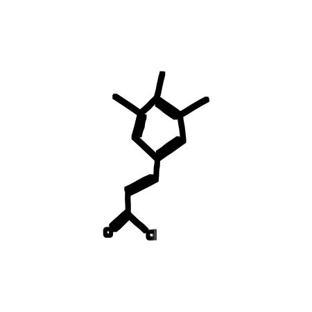 Cc1cc(/C=C/C(=O)Cl)cc(C)c1C